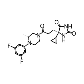 C[C@@H]1CN(C(=O)CC[C@@]2(C3CC3)NC(=O)NC2=O)CCN1c1cc(F)cc(F)c1